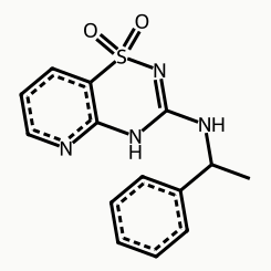 CC(NC1=NS(=O)(=O)c2cccnc2N1)c1ccccc1